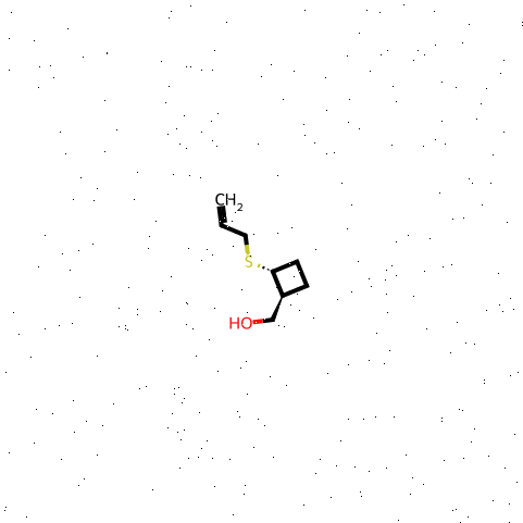 C=CCS[C@@H]1CC[C@H]1CO